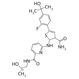 C[C@H](O)CNC(=O)c1cccc(NC2SC(c3ccc(C(C)(C)O)cc3F)=CC2C(N)=O)n1